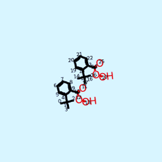 CC(C)(C)c1ccccc1C(=O)OO.CC(C)(C)c1ccccc1C(=O)OO